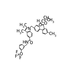 Cc1ccc(-c2ccc(Cn3c(C)c(C)c4cc(C(=O)NCc5cccc(OC(F)(F)F)c5)ccc43)cc2)c(C(=O)OC(C)(C)C)c1